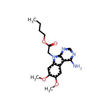 CCCCOC(=O)Cn1c2cc(OC)c(OC)cc2c2c(N)ncnc21